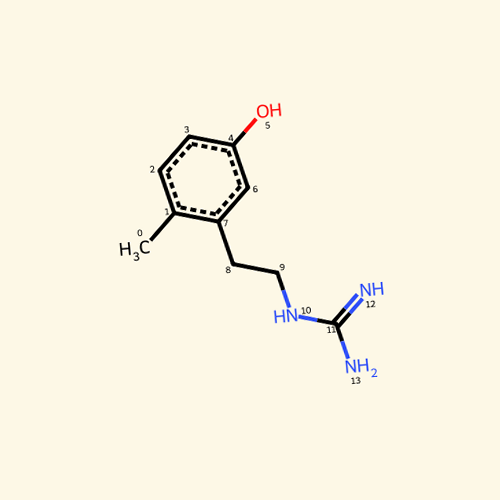 Cc1ccc(O)cc1CCNC(=N)N